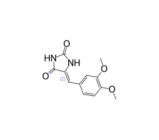 COc1ccc(/C=C2\NC(=O)NC2=O)cc1OC